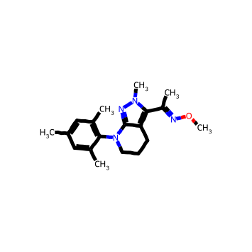 CON=C(C)c1c2c(nn1C)N(c1c(C)cc(C)cc1C)CCC2